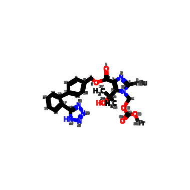 CCCCc1nc(C(=O)OCc2ccc(-c3ccccc3-c3nnn[nH]3)cc2)c(C(C)(C)O)n1COC(=O)OC(C)C